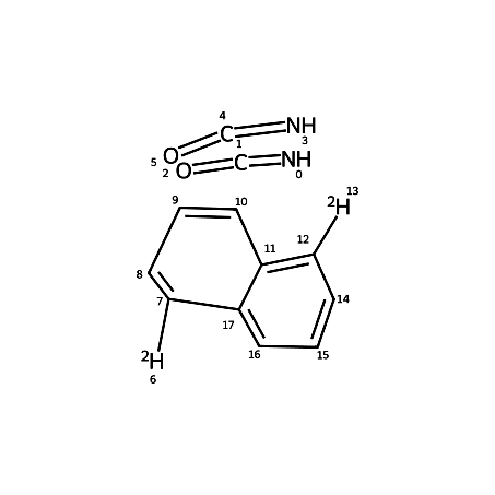 N=C=O.N=C=O.[2H]c1cccc2c([2H])cccc12